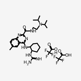 Cc1ccc2nc(C(=O)NCCN(C(C)C)C(C)C)nc(NC3CCCCC3NC(=N)N)c2c1.O=C(O)C(F)(F)F.O=C(O)C(F)(F)F